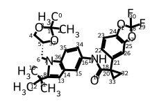 CC1(C)OC[C@@H](Cn2c(C(C)(C)C)cc3cc(NC(=O)C4(c5ccc6c(c5)OC(F)(F)O6)CC4)ccc32)O1